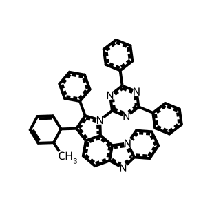 CC1C=CC=CC1c1c(-c2ccccc2)n(-c2nc(-c3ccccc3)nc(-c3ccccc3)n2)c2c1ccc1nc3ccccn3c12